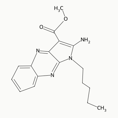 CCCCCn1c(N)c(C(=O)OC)c2nc3ccccc3nc21